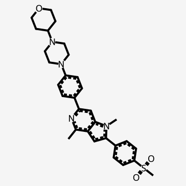 Cc1nc(-c2ccc(N3CCN(C4CCOCC4)CC3)cc2)cc2c1cc(-c1ccc(S(C)(=O)=O)cc1)n2C